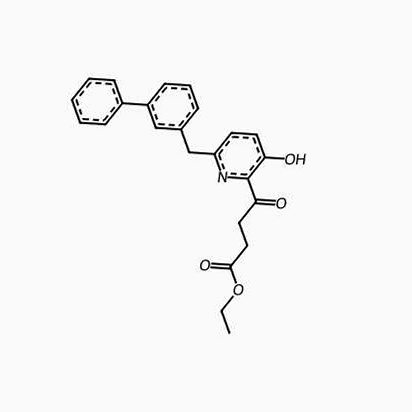 CCOC(=O)CCC(=O)c1nc(Cc2cccc(-c3ccccc3)c2)ccc1O